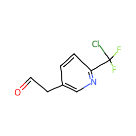 O=CCc1ccc(C(F)(F)Cl)nc1